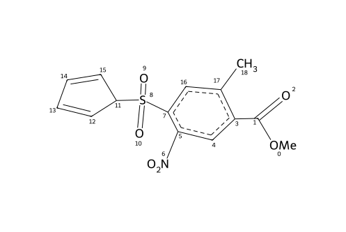 COC(=O)c1cc([N+](=O)[O-])c(S(=O)(=O)C2C=CC=C2)cc1C